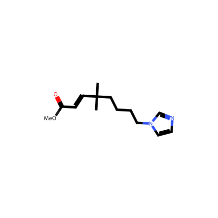 COC(=O)/C=C/C(C)(C)CCCCn1ccnc1